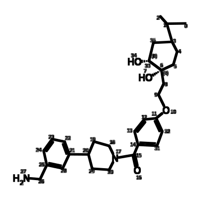 CC(C)C1CC[C@@](O)(CCOc2ccc(C(=O)N3CCC(c4cccc(CN)c4)CC3)cc2)[C@H](O)C1